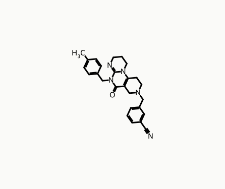 Cc1ccc(CN2C(=O)C3=C(CCN(Cc4cccc(C#N)c4)C3)N3CCCN=C23)cc1